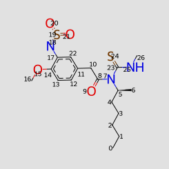 CCCCC[C@H](C)N(C(=O)Cc1ccc(OC)c(N=S(=O)=O)c1)C(=S)NC